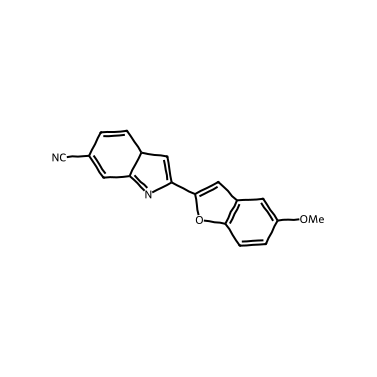 COc1ccc2oc(C3=CC4C=CC(C#N)=CC4=N3)cc2c1